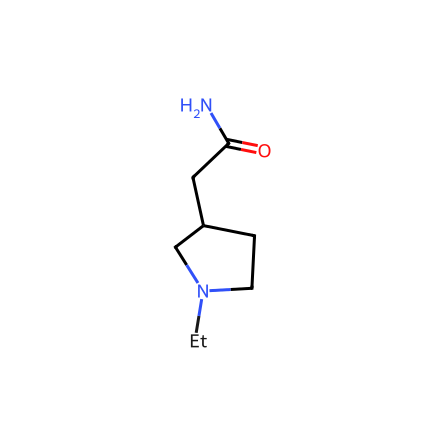 CCN1CCC(CC(N)=O)C1